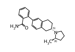 C[C@@H]1CCCN1[C@H]1CCc2cc(-c3ccccc3C(N)=O)ccc2C1